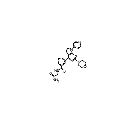 NC(=O)CNC(=O)c1cccc(-c2nc(N3CCOCC3)nc3c2CCN3c2ccncc2)c1